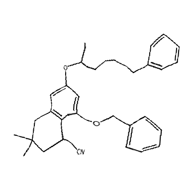 CC(CCCc1ccccc1)Oc1cc2c(c(OCc3ccccc3)c1)C(C#N)CC(C)(C)C2